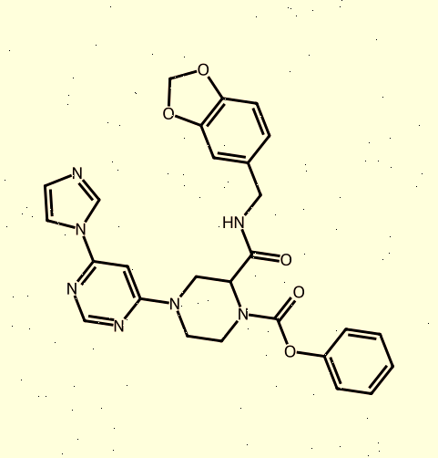 O=C(NCc1ccc2c(c1)OCO2)C1CN(c2cc(-n3ccnc3)ncn2)CCN1C(=O)Oc1ccccc1